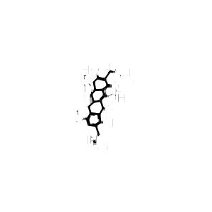 CCCNCc1cc(N(C)C)c2c(c1O)C(=O)C1=C(O)[C@]3(O)C(=O)C(C(N)=O)=C(O)[C@@H](N(C)C)[C@@H]3C[C@@H]1C2